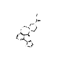 CC(C)(C)OC(=O)N1CCN2C(=O)c3c(ccnc3-c3ccc[nH]3)OCC2C1